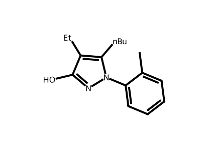 CCCCc1c(CC)c(O)nn1-c1ccccc1C